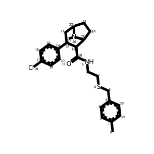 Cc1ccc(CSCCNC(=O)C2C(c3ccc(Cl)cc3)CC3CCC2N3C)cc1